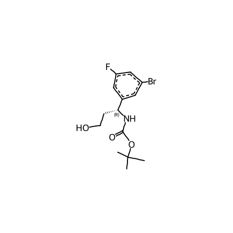 CC(C)(C)OC(=O)N[C@H](CCO)c1cc(F)cc(Br)c1